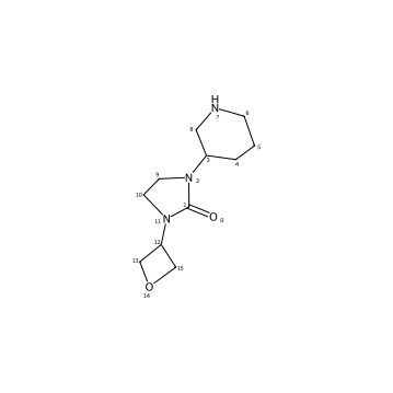 O=C1N(C2CCCNC2)CCN1C1COC1